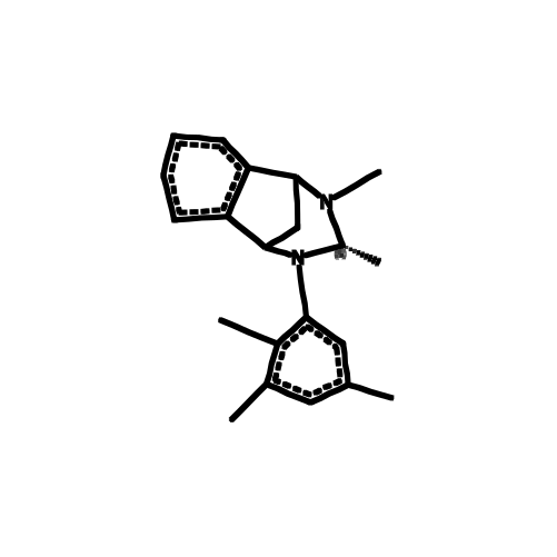 Cc1cc(C)c(C)c(N2C3CC(c4ccccc43)N(C)[C@@H]2C)c1